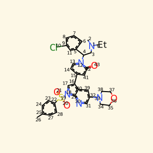 CCN(C)CC(c1cccc(Cl)c1)n1ccc(-c2cn(S(=O)(=O)c3ccc(C)cc3)c3ncc(N4CCOCC4)cc23)cc1=O